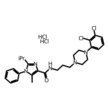 Cc1c(C(=O)NCCCN2CCN(c3cccc(Cl)c3Cl)CC2)nc(C(C)C)n1-c1ccccc1.Cl.Cl